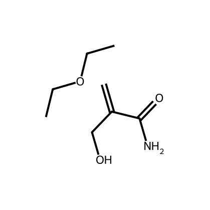 C=C(CO)C(N)=O.CCOCC